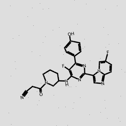 N#CCC(=O)N1CCCC(Nc2nc(-c3cnc4ccc(F)cn34)nc(-c3ccc(O)cc3)c2F)C1